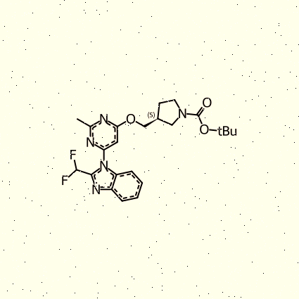 Cc1nc(OC[C@H]2CCN(C(=O)OC(C)(C)C)C2)cc(-n2c(C(F)F)nc3ccccc32)n1